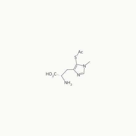 CC(=O)Sc1c(C[C@H](N)C(=O)O)ncn1C